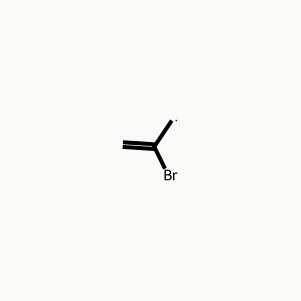 [CH2]C(=C)Br